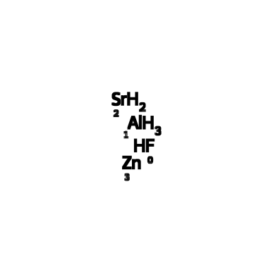 F.[AlH3].[SrH2].[Zn]